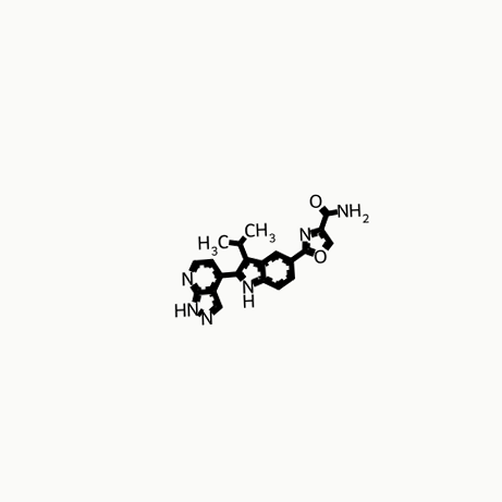 CC(C)c1c(-c2ccnc3[nH]ncc23)[nH]c2ccc(-c3nc(C(N)=O)co3)cc12